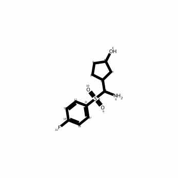 NC(C1CCC(O)C1)S(=O)(=O)c1ccc(F)cc1